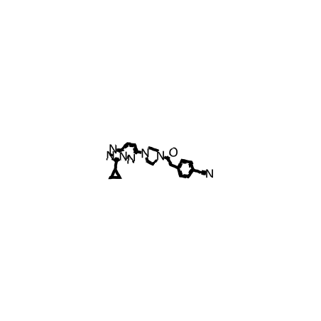 N#Cc1ccc(CC(=O)N2CCN(c3ccc4nnc(C5CC5)n4n3)CC2)cc1